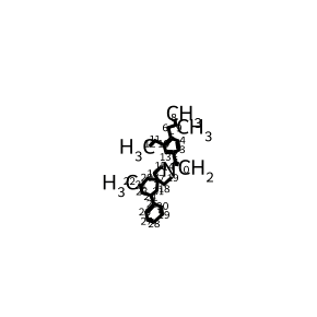 C=C(c1ccc(CC(C)C)c(CC)c1)N1CCC2(CC1)CC(C)CC(c1ccccc1)C2